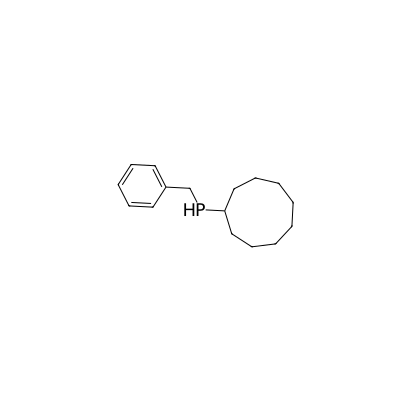 c1ccc(CPC2CCCCCCCC2)cc1